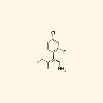 C=C(C(C)C)[C@H](CN)c1ccc(Cl)cc1F